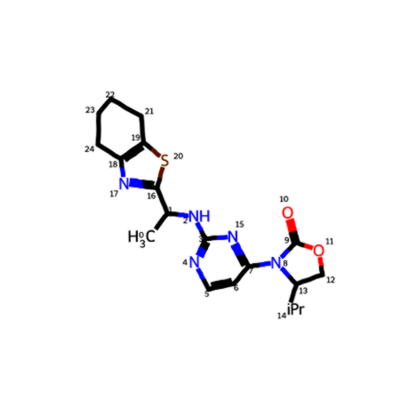 CC(Nc1nccc(N2C(=O)OCC2C(C)C)n1)c1nc2c(s1)CCCC2